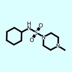 CN1CCN(S(=O)(=O)NC2CCCCC2)CC1